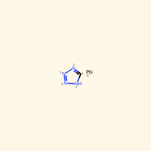 [Pb].c1nnn[nH]1